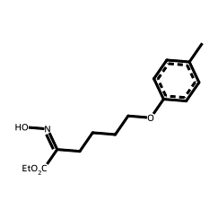 CCOC(=O)C(CCCCOc1ccc(C)cc1)=NO